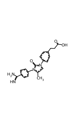 Cc1cn(-c2ccc(CCC(=O)O)cc2)c(=O)n1-c1ccc(C(=N)N)cc1